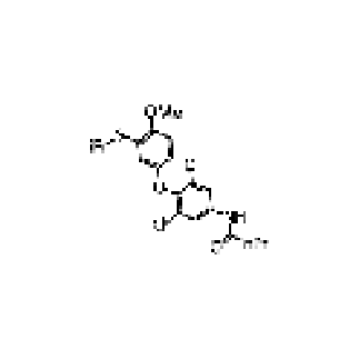 CCCC(=O)Nc1cc(Cl)c(Oc2ccc(OC)c(SC(C)C)c2)c(Cl)c1